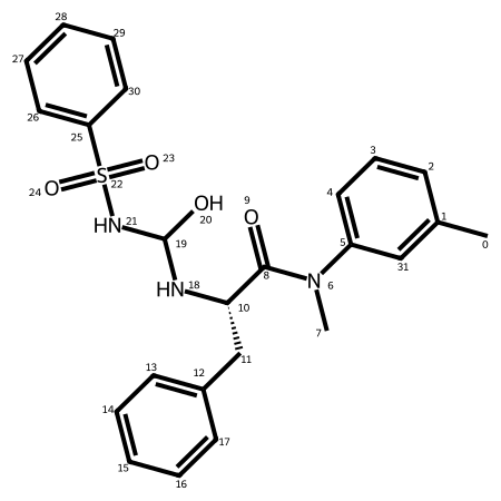 Cc1cccc(N(C)C(=O)[C@H](Cc2ccccc2)NC(O)NS(=O)(=O)c2ccccc2)c1